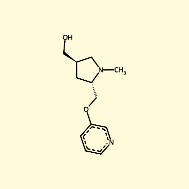 CN1C[C@H](CO)C[C@H]1COc1cccnc1